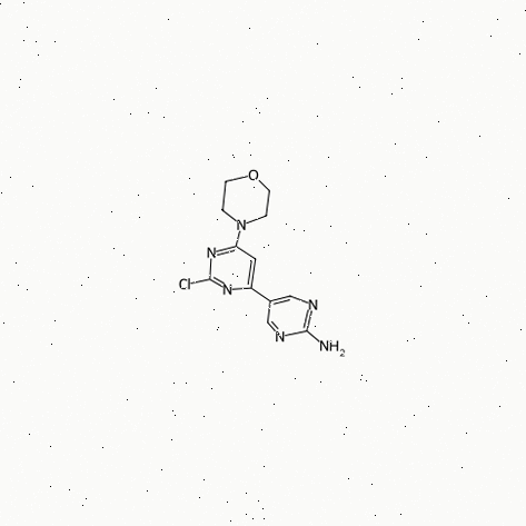 Nc1ncc(-c2cc(N3CCOCC3)nc(Cl)n2)cn1